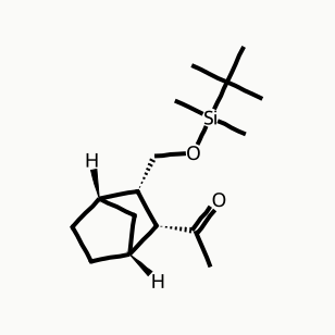 CC(=O)[C@@H]1[C@@H]2CC[C@@H](C2)[C@@H]1CO[Si](C)(C)C(C)(C)C